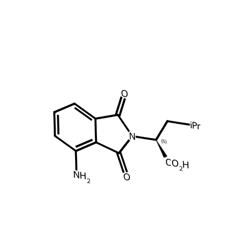 CC(C)C[C@@H](C(=O)O)N1C(=O)c2cccc(N)c2C1=O